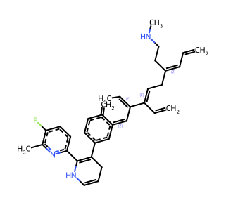 C=C/C=C(/C/C=C(C=C)/C(/C=c1/cc(C2=C(c3ccc(F)c(C)n3)NC=CC2)ccc1=C)=C/C)CCNC